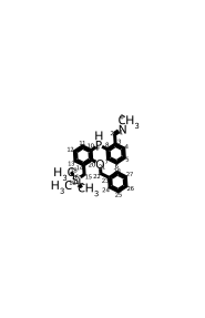 C/N=C/c1ccccc1Pc1cccc(C[Si](C)(C)C)c1OCc1ccccc1